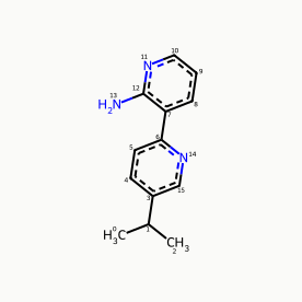 CC(C)c1ccc(-c2cccnc2N)nc1